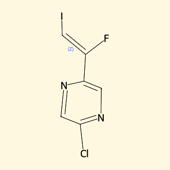 F/C(=C\I)c1cnc(Cl)cn1